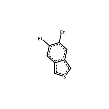 CCc1cc2cscc2cc1CC